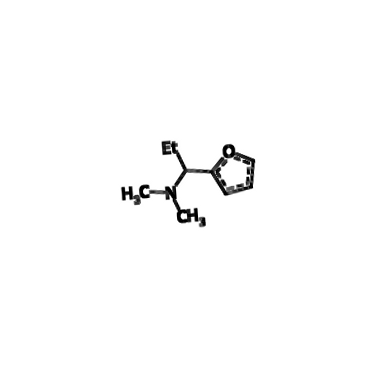 CCC(c1ccco1)N(C)C